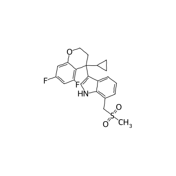 CS(=O)(=O)Cc1cccc2c(C3(C4CC4)CCOc4cc(F)cc(F)c43)c[nH]c12